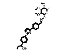 CCC(O)c1ccc(-n2ccc(-c3ccc(/C=N/O[C@@H]4O[C@@H](C)[C@H](OC)[C@@H](OC)[C@H]4OC)cc3)n2)cc1